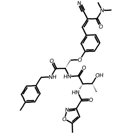 Cc1ccc(CNC(=O)[C@H](COc2cccc(C=C(C#N)C(=O)N(C)C)c2)NC(=O)[C@@H](NC(=O)c2cc(C)on2)[C@@H](C)O)cc1